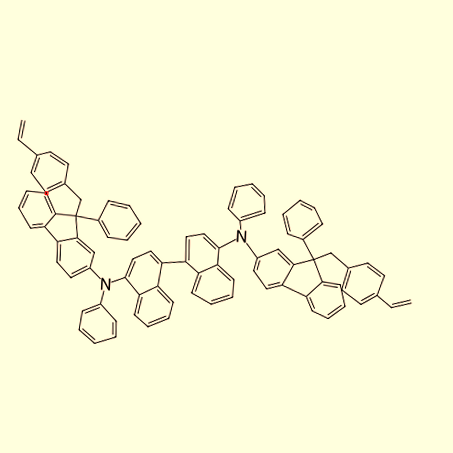 C=Cc1ccc(CC2(c3ccccc3)c3ccccc3-c3ccc(N(c4ccccc4)c4ccc(-c5ccc(N(c6ccccc6)c6ccc7c(c6)C(Cc6ccc(C=C)cc6)(c6ccccc6)c6ccccc6-7)c6ccccc56)c5ccccc45)cc32)cc1